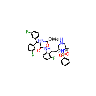 COC(=O)NC(C(=O)Nc1cccc(F)c1CC[C@H]1CNC[C@@H](C)N1S(=O)(=O)c1ccccc1)C(c1cccc(F)c1)c1cccc(F)c1